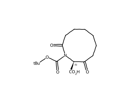 CC(C)(C)OC(=O)N1C(=O)CCCCCCC(=O)[C@H]1C(=O)O